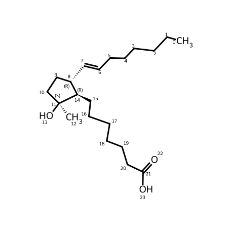 CCCCCCC=C[C@H]1CC[C@](C)(O)[C@@H]1CCCCCCC(=O)O